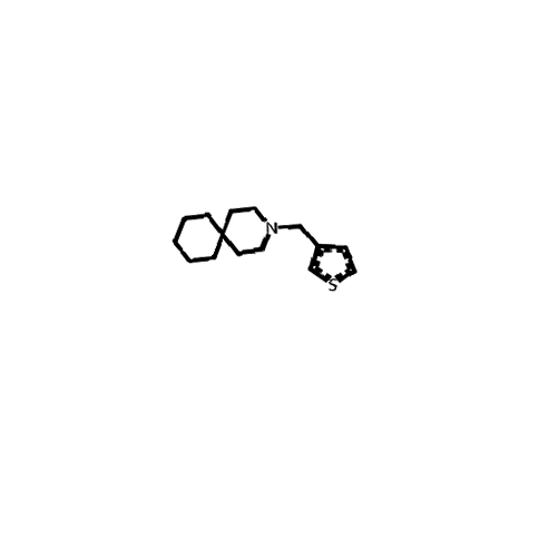 c1cc(CN2CCC3(CCCCC3)CC2)cs1